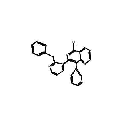 Nc1nc(-c2cccnc2Cc2ccccc2)c(-c2ccccc2)c2ncccc12